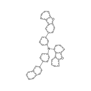 c1cc(-c2ccc3oc4ccccc4c3c2)cc(N(c2ccc(-c3ccc4ccccc4c3)cc2)c2cccc3oc4ccccc4c23)c1